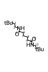 CC(C)(C)CCNC(=O)CCCCC(=O)NCC(C)(C)C